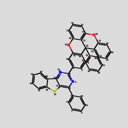 c1ccc(-c2nc(-c3ccc4c(c3)Oc3cccc5c3C4(c3ccccc3)c3ccccc3O5)nc3c2sc2ccccc23)cc1